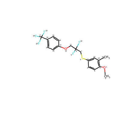 COc1ccc(SCC(F)(F)COc2ccc(C(F)(F)F)cc2)cc1C